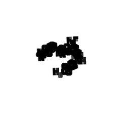 CS(=O)(=O)N1CCC(Nc2ncc3cc(C(F)F)c(=O)n(Cc4ccc(-c5cccc(S(=O)(=O)n6cncn6)c5)nn4)c3n2)CC1